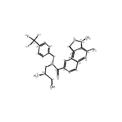 C[C@H](CO)CN(Cc1ccc(C(F)(F)F)cn1)C(=O)c1ccc2nc(N)c3c(c2c1)CO[C@H]3C